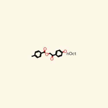 CCCCCCCCOc1ccc(C(=O)COC(=O)c2ccc(C)cc2)cc1